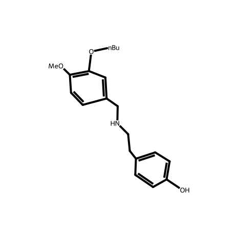 CCCCOc1cc(CNCCc2ccc(O)cc2)ccc1OC